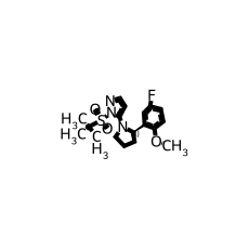 COc1ccc(F)cc1[C@H]1CCCN1c1ccnn1S(=O)(=O)C(C)(C)C